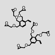 C=Cc1cc(COCC2CO2)cc(COCC2CO2)c1COCC1CO1.C=Cc1ccc(COCC2CO2)c(COCC2CO2)c1COCC1CO1